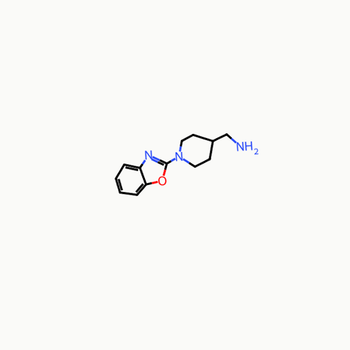 NCC1CCN(c2nc3ccccc3o2)CC1